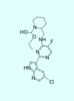 CCOC(O)N1CCCCC1CNc1nc(-c2c[nH]c3ncc(Cl)cc23)ncc1F